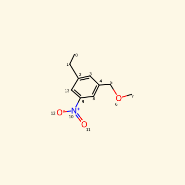 CCc1cc(COC)cc([N+](=O)[O-])c1